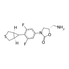 NC[C@H]1CN(c2cc(F)c(C3[C@H]4CSC[C@@H]34)c(F)c2)C(=O)O1